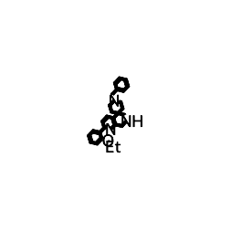 CCOc1ccccc1-c1ccc2c(n1)CNCC21CCN(Cc2ccccc2)CC1